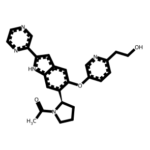 CC(=O)N1CCC[C@@H]1c1cc2[nH]c(-c3cnccn3)cc2cc1Oc1ccc(CCO)nc1